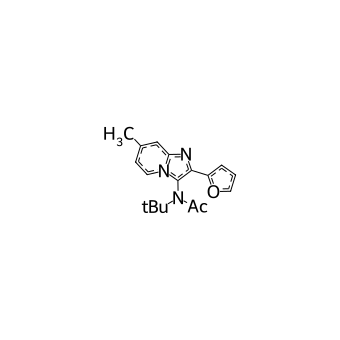 CC(=O)N(c1c(-c2ccco2)nc2cc(C)ccn12)C(C)(C)C